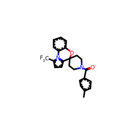 Cc1ccc(C(=O)N2CCC3(CC2)Oc2ccccc2-n2c(C(F)(F)F)ccc23)cc1